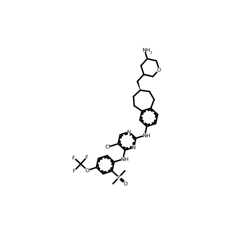 CP(C)(=O)c1cc(OC(F)(F)F)ccc1Nc1nc(Nc2ccc3c(c2)CC[C@@H](CC2COCC(N)C2)CC3)ncc1Cl